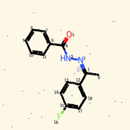 C/C(=N/NC(=O)c1ccccc1)c1ccc(F)cc1